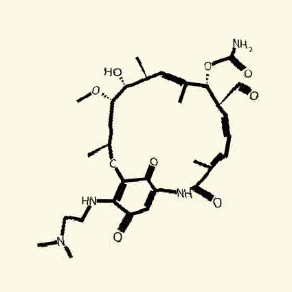 CO[C@H]1C[C@H](C)CC2=C(NCCN(C)C)C(=O)C=C(NC(=O)/C(C)=C/C=C\[C@H](C=O)[C@@H](OC(N)=O)/C(C)=C/[C@H](C)[C@H]1O)C2=O